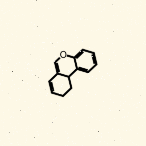 C1=CC2=COc3ccccc3C2CC1